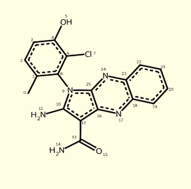 Cc1ccc(O)c(Cl)c1-n1c(N)c(C(N)=O)c2nc3ccccc3nc21